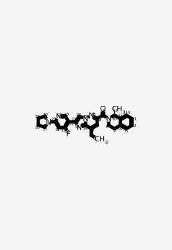 CCc1cc(C(=O)N2CCc3ccccc3[C@H]2C)nn2cc(-c3cnc(N4CCCC4)cc3F)nc12